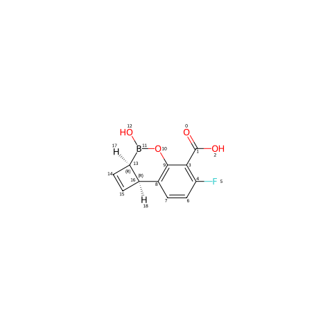 O=C(O)c1c(F)ccc2c1OB(O)[C@@H]1C=C[C@H]21